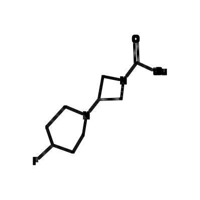 CC(C)(C)C(=O)N1CC(N2CCC(F)CC2)C1